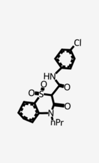 CCCN1C(=O)C(C(=O)Nc2ccc(Cl)cc2)S(=O)(=O)c2ccccc21